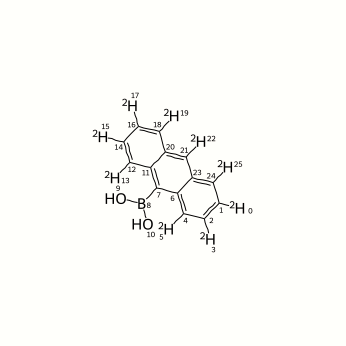 [2H]c1c([2H])c([2H])c2c(B(O)O)c3c([2H])c([2H])c([2H])c([2H])c3c([2H])c2c1[2H]